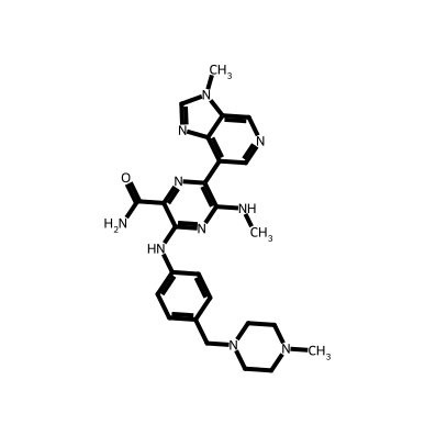 CNc1nc(Nc2ccc(CN3CCN(C)CC3)cc2)c(C(N)=O)nc1-c1cncc2c1ncn2C